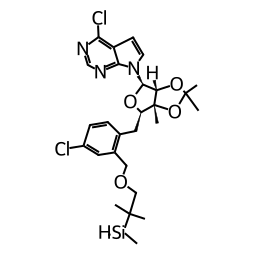 C[SiH](C)C(C)(C)COCc1cc(Cl)ccc1C[C@H]1O[C@@H](n2ccc3c(Cl)ncnc32)[C@@H]2OC(C)(C)O[C@]12C